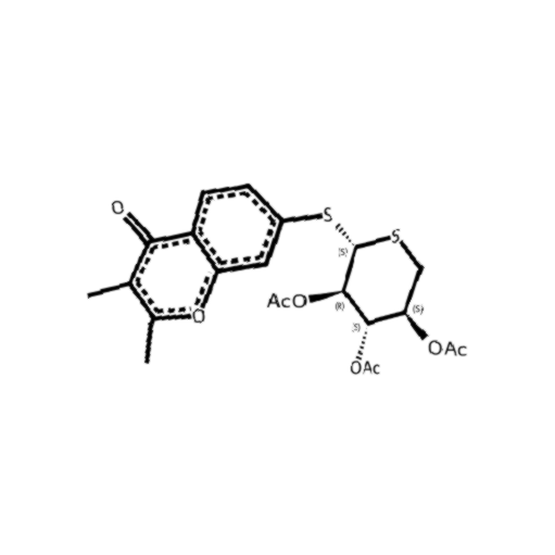 CC(=O)O[C@@H]1[C@@H](OC(C)=O)[C@H](Sc2ccc3c(=O)c(C)c(C)oc3c2)SC[C@H]1OC(C)=O